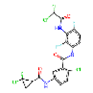 O=C(Nc1ccc(F)c(NC(=O)C(Cl)Cl)c1F)c1cc(NC(=O)C2CC2(Cl)Cl)ccc1Cl